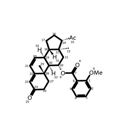 COc1ccccc1C(=O)O[C@H]1C[C@]2(C)[C@@H](C(C)=O)CC[C@H]2[C@@H]2C=CC3=CC(=O)CC[C@@]3(C)[C@@H]21